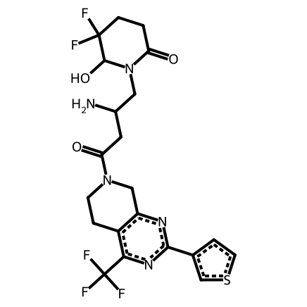 NC(CC(=O)N1CCc2c(nc(-c3ccsc3)nc2C(F)(F)F)C1)CN1C(=O)CCC(F)(F)C1O